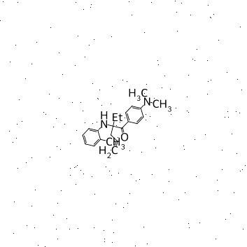 C=CCC(CC)(Nc1ccccc1C)C(=O)c1ccc(N(C)C)cc1